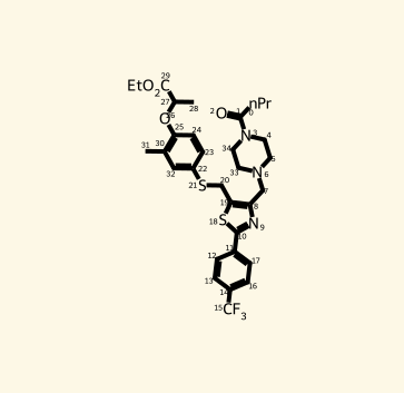 CCCC(=O)N1CCN(Cc2nc(-c3ccc(C(F)(F)F)cc3)sc2CSc2ccc(OC(C)C(=O)OCC)c(C)c2)CC1